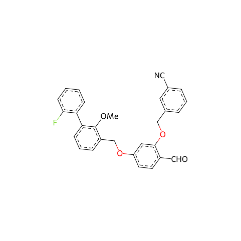 COc1c(COc2ccc(C=O)c(OCc3cccc(C#N)c3)c2)cccc1-c1ccccc1F